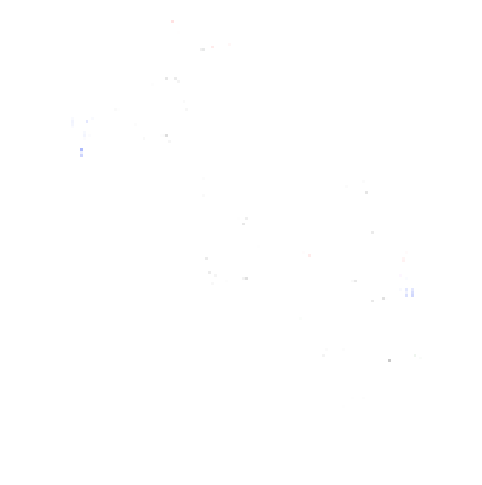 O=C(O)c1cc(C#Cc2cccc(OCc3c(-c4c(Cl)cccc4Cl)noc3C3CC3)c2Cl)c2cn[nH]c2c1